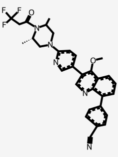 COc1c(-c2ccc(N3CC(C)N(C(=O)CC(F)(F)F)[C@@H](C)C3)nc2)cnc2c(-c3ccc(C#N)cc3)cccc12